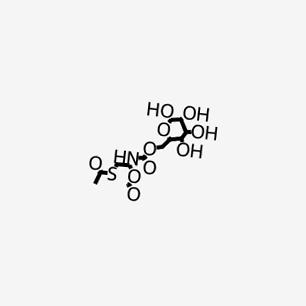 CC(=O)SCC(NC(=O)OCC1OC(O)C(O)C(O)C1O)OC=O